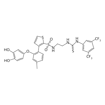 Cc1ccc(-c2ccsc2S(=O)(=O)NCCNC(=S)Nc2cc(C(F)(F)F)cc(C(F)(F)F)c2)c(Oc2ccc(O)c(O)c2)c1